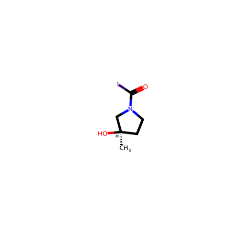 C[C@@]1(O)CCN(C(=O)I)C1